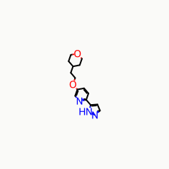 c1cc(-c2ccc(OCCC3CCOCC3)cn2)[nH]n1